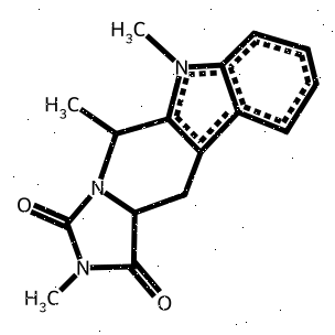 CC1c2c(c3ccccc3n2C)CC2C(=O)N(C)C(=O)N21